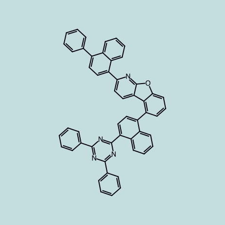 c1ccc(-c2nc(-c3ccccc3)nc(-c3ccc(-c4cccc5oc6nc(-c7ccc(-c8ccccc8)c8ccccc78)ccc6c45)c4ccccc34)n2)cc1